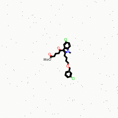 COC(=O)CCCC(=O)c1c(CCCCOCc2cccc(Cl)c2)n(C)c2ccc(Cl)cc12